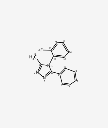 Cc1nnc(-c2[c]cccc2)n1-c1ccccc1F